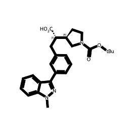 Cn1nc(-c2cccc(C[C@H](C(=O)O)[C@H]3CCN(C(=O)OC(C)(C)C)C3)c2)c2ccccc21